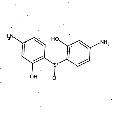 Nc1ccc([S+]([O-])c2ccc(N)cc2O)c(O)c1